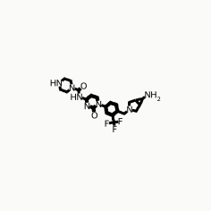 NC1C2CN(Cc3ccc(-n4ccc(NC(=O)N5CCNCC5)nc4=O)cc3C(F)(F)F)CC12